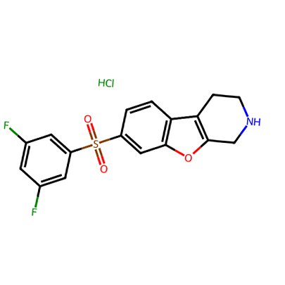 Cl.O=S(=O)(c1cc(F)cc(F)c1)c1ccc2c3c(oc2c1)CNCC3